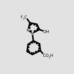 O=C(O)c1cccc(-n2nc(C(F)(F)F)cc2O)c1